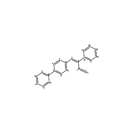 O=PC(=Cc1ccc(-c2ccccc2)cc1)c1ccccc1